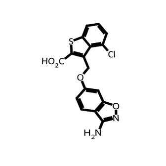 Nc1noc2cc(OCc3c(C(=O)O)sc4cccc(Cl)c34)ccc12